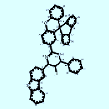 IC1C(c2ccc3sc4ccccc4c3c2)N=C(c2ccc3c(c2)C2(c4ccccc4O3)c3ccccc3-c3ccccc32)NC1c1ccccc1